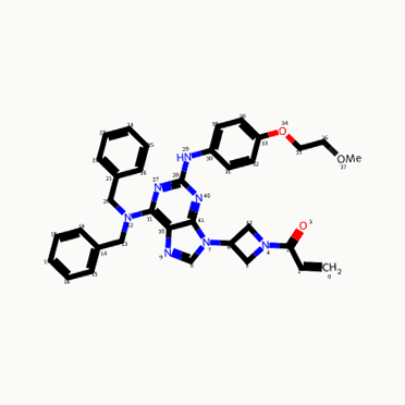 C=CC(=O)N1CC(n2cnc3c(N(Cc4ccccc4)Cc4ccccc4)nc(Nc4ccc(OCCOC)cc4)nc32)C1